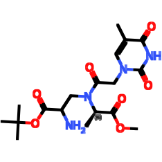 COC(=O)[C@@H](C)N(CC(N)C(=O)OC(C)(C)C)C(=O)Cn1cc(C)c(=O)[nH]c1=O